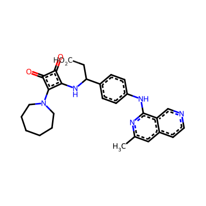 Cc1cc2ccncc2c(Nc2ccc(C(CC(=O)O)Nc3c(N4CCCCCC4)c(=O)c3=O)cc2)n1